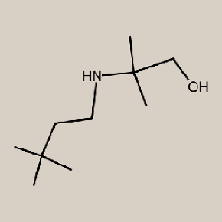 CC(C)(C)CCNC(C)(C)CO